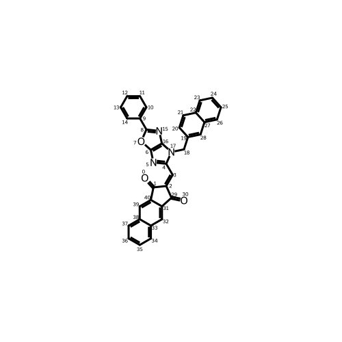 O=C1C(=Cc2nc3oc(-c4ccccc4)nc3n2Cc2ccc3ccccc3c2)C(=O)c2cc3ccccc3cc21